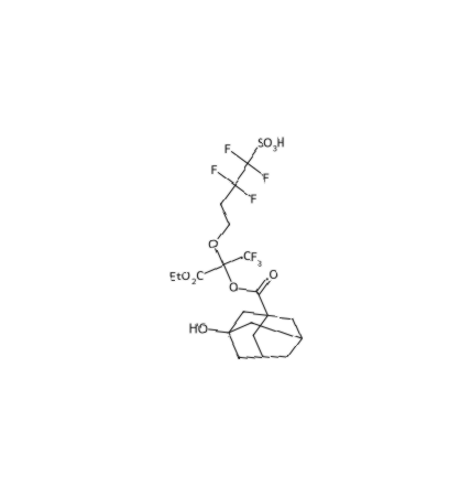 CCOC(=O)C(OCCC(F)(F)C(F)(F)S(=O)(=O)O)(OC(=O)C12CC3CC(CC(O)(C3)C1)C2)C(F)(F)F